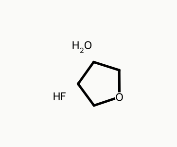 C1CCOC1.F.O